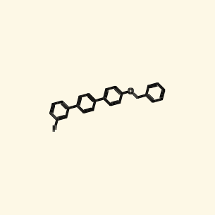 Fc1cccc(-c2ccc(-c3ccc(OCc4ccccc4)cc3)cc2)c1